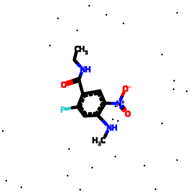 CCNC(=O)c1cc([N+](=O)[O-])c(NC)cc1F